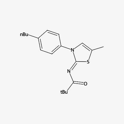 CCCCc1ccc(-n2cc(C)sc2=NC(=O)C(C)(C)C)cc1